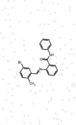 Cc1ccc(Br)cc1/C=N/c1ccccc1C(=O)Nc1ccccc1